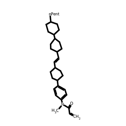 C=CC(=O)N(C)c1ccc(C2CCC(/C=C/C3CCC(C4CCC(CCCCC)CC4)CC3)CC2)cc1